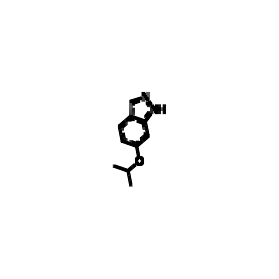 CC(C)Oc1ccc2cn[nH]c2c1